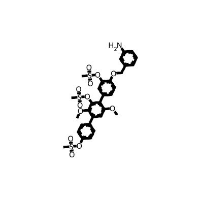 COc1cc(-c2ccc(OS(C)(=O)=O)cc2)c(OC)c(OS(C)(=O)=O)c1-c1ccc(OCc2cccc(N)c2)c(OS(C)(=O)=O)c1